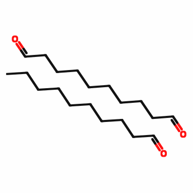 CCCCCCCCCC=O.O=CCCCCCCCCC=O